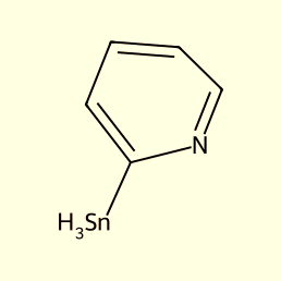 [SnH3][c]1ccccn1